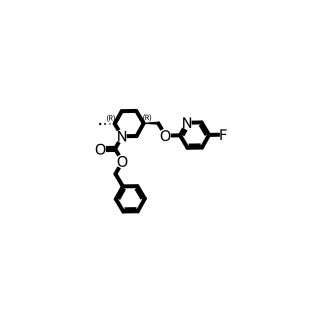 C[C@@H]1CC[C@@H](COc2ccc(F)cn2)CN1C(=O)OCc1ccccc1